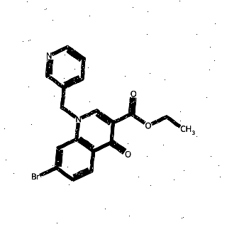 CCOC(=O)c1cn(Cc2cccnc2)c2cc(Br)ccc2c1=O